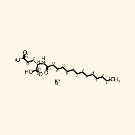 CCCCCCCCCCCCCC(=O)N[C@@H](CCC(=O)[O-])C(=O)O.[K+]